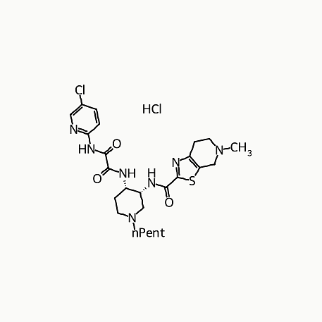 CCCCCN1CC[C@H](NC(=O)C(=O)Nc2ccc(Cl)cn2)[C@H](NC(=O)c2nc3c(s2)CN(C)CC3)C1.Cl